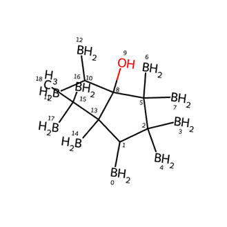 BC1C(B)(B)C(B)(B)C(O)(C(B)B)C1(B)C(B)(B)C